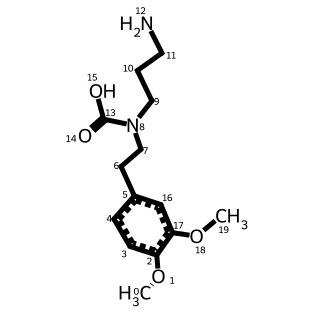 COc1ccc(CCN(CCCN)C(=O)O)cc1OC